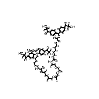 COC(=O)[N+](CCCCCCNC(=O)NC(C)COC(C)COC(C)COC(C)COCC(C)NC(=O)NCCCCCCNC(=O)OC(c1ccc(C(=O)C(C)(C)O)cc1)c1ccc(C(=O)C(C)(C)O)cc1)(c1ccc(C(=O)C(C)(C)O)cc1)c1ccc(C(=O)C(C)(C)O)cc1